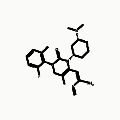 C=N/C(N)=C\C1=C(C)CN(c2c(C)cccc2F)C(=O)N1[C@H]1CCC[C@@H](N(C)C)C1